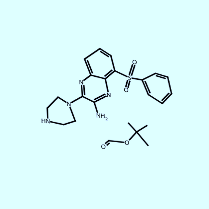 CC(C)(C)OC=O.Nc1nc2c(S(=O)(=O)c3ccccc3)cccc2nc1N1CCNCC1